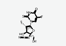 [N-]=[N+]=N[C@]1(CO)O[C@@H](n2cc(F)c(=O)[nH]c2=S)[C@@H](F)C1O